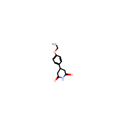 CCOc1ccc(C2CC(=O)NC(=O)C2)cc1